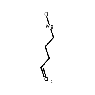 C=CCC[CH2][Mg][Cl]